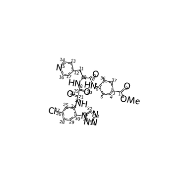 COC(=O)c1ccc(NC(=O)[C@H](Cc2ccncc2)NC(=O)C(=O)Nc2cc(Cl)ccc2-n2cnnn2)cc1